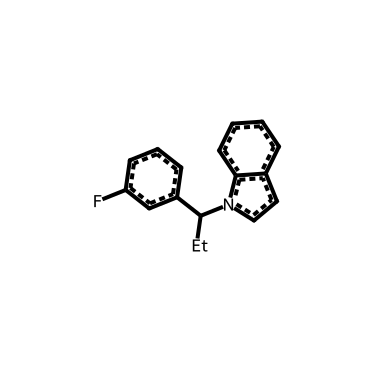 CCC(c1cccc(F)c1)n1ccc2ccccc21